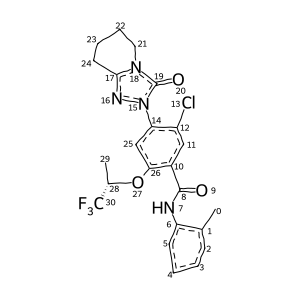 Cc1ccccc1NC(=O)c1cc(Cl)c(-n2nc3n(c2=O)CCCC3)cc1O[C@@H](C)C(F)(F)F